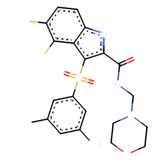 Cc1cc(C)cc(S(=O)(=O)c2c(C(=O)NCN3CCOCC3)[nH]c3ccc(F)c(F)c23)c1